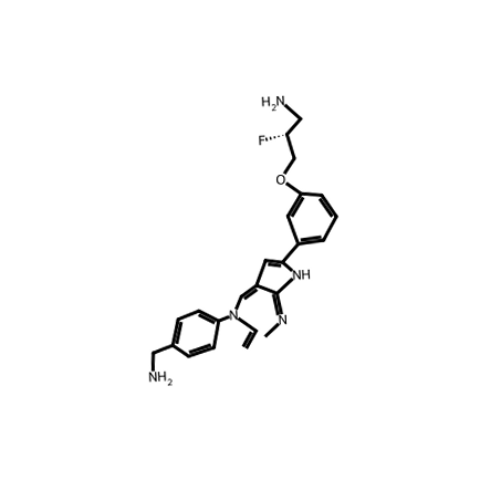 C=CN(/C=C1/C=C(c2cccc(OC[C@H](F)CN)c2)N/C1=N/C)c1ccc(CN)cc1